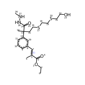 CCOC(=O)/C(C)=C/c1cccc(C(C)(CCSCCSCCO)C(=O)NNC)c1